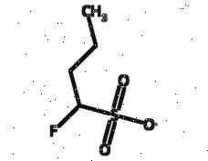 CCCC(F)S([O])(=O)=O